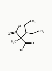 CCC(CC)C(C)(C(=O)O)C(=O)O